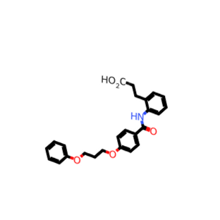 O=C(O)CCc1ccccc1NC(=O)c1ccc(OCCCOc2ccccc2)cc1